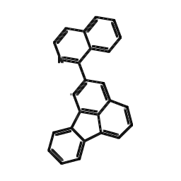 [c]1c(-c2nccc3ccccc23)cc2cccc3c2c1-c1ccccc1-3